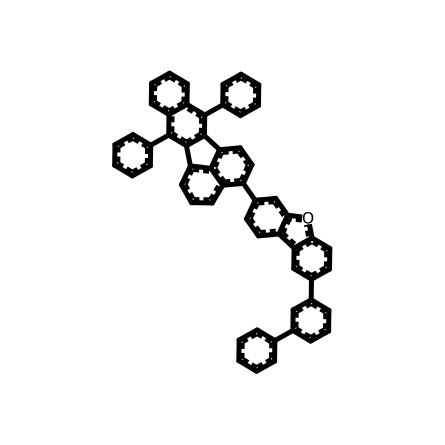 c1ccc(-c2cccc(-c3ccc4oc5cc(-c6ccc7c8c(cccc68)-c6c-7c(-c7ccccc7)c7ccccc7c6-c6ccccc6)ccc5c4c3)c2)cc1